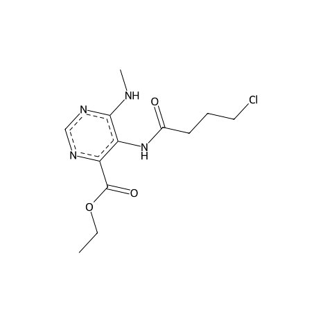 CCOC(=O)c1ncnc(NC)c1NC(=O)CCCCl